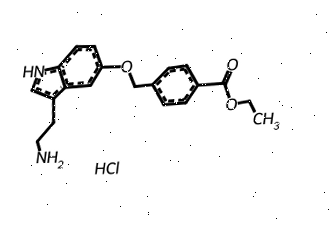 CCOC(=O)c1ccc(COc2ccc3[nH]cc(CCN)c3c2)cc1.Cl